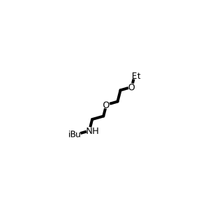 CCOCCOCCNC(C)CC